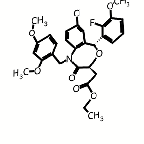 CCOC(=O)C[C@@H]1O[C@@H](c2cccc(OC)c2F)c2cc(Cl)ccc2N(Cc2ccc(OC)cc2OC)C1=O